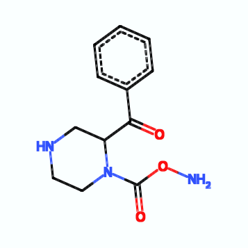 NOC(=O)N1CCNCC1C(=O)c1ccccc1